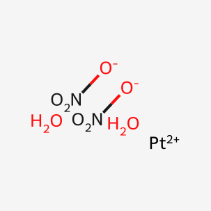 O.O.O=[N+]([O-])[O-].O=[N+]([O-])[O-].[Pt+2]